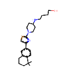 CC1(C)CCCc2cc(-c3csc(N4CCC(NCCCCO)CC4)n3)ccc21